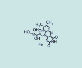 Cc1cc2nc3c(=O)[nH]c(=O)nc-3n(C[C@@H](O)[C@@H](O)[C@@H](O)CO)c2cc1C.[Fe]